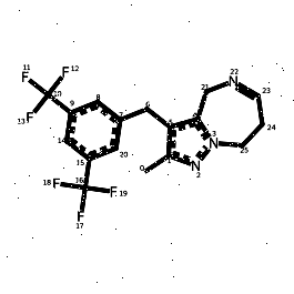 Cc1nn2c(c1Cc1cc(C(F)(F)F)cc(C(F)(F)F)c1)CN=CCC2